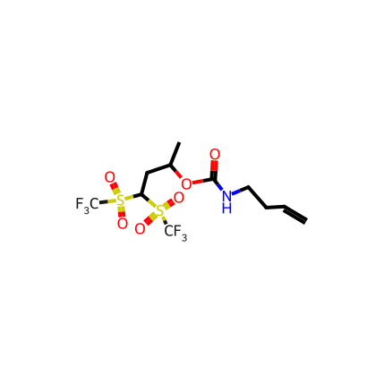 C=CCCNC(=O)OC(C)CC(S(=O)(=O)C(F)(F)F)S(=O)(=O)C(F)(F)F